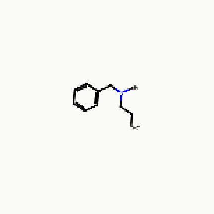 CC(C)N(CCC=O)Cc1ccccc1